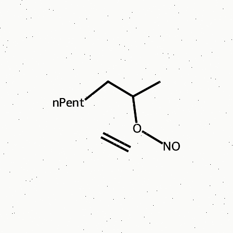 C=C.CCCCCCC(C)ON=O